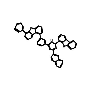 c1cccc(-c2cccc3c2oc2cccc(-c4cccc(C5=NC(c6ccc7ccccc7c6)=NC(c6cccc7c6oc6ccccc67)N5)c4)c23)c#1